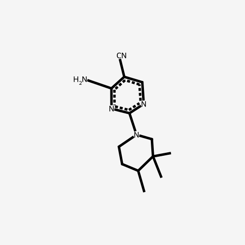 CC1CCN(c2ncc(C#N)c(N)n2)CC1(C)C